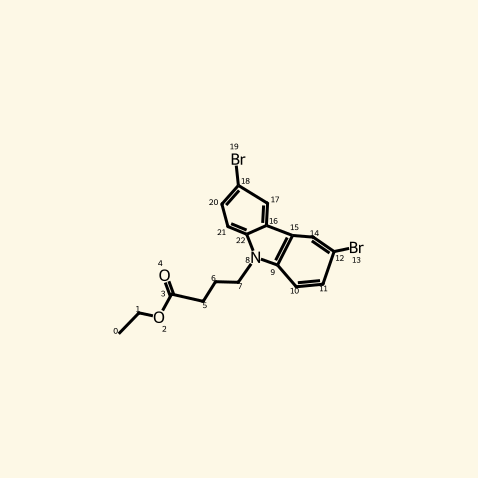 CCOC(=O)CCCn1c2ccc(Br)cc2c2cc(Br)ccc21